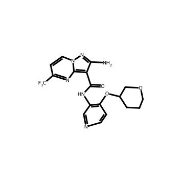 Nc1nn2ccc(C(F)(F)F)nc2c1C(=O)Nc1cnccc1OC1CCCOC1